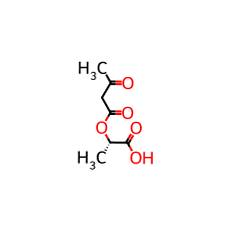 CC(=O)CC(=O)O[C@@H](C)C(=O)O